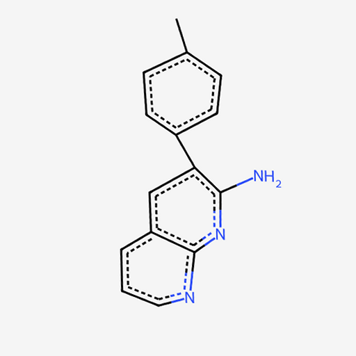 Cc1ccc(-c2cc3cccnc3nc2N)cc1